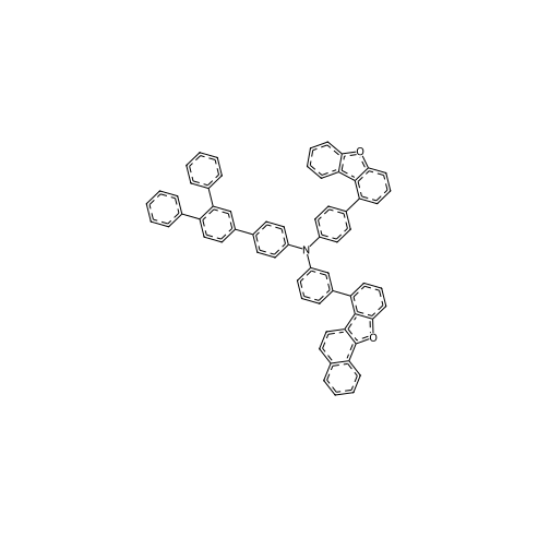 c1ccc(-c2ccc(-c3ccc(N(c4ccc(-c5cccc6oc7ccccc7c56)cc4)c4cccc(-c5cccc6oc7c8ccccc8ccc7c56)c4)cc3)cc2-c2ccccc2)cc1